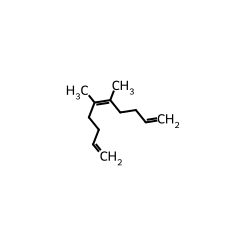 C=CCCC(C)=C(C)CCC=C